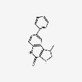 CC1CNc2c1c1cc(-c3cccnc3)ccc1[nH]c2=O